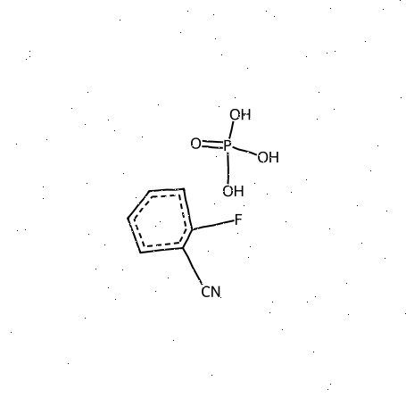 N#Cc1ccccc1F.O=P(O)(O)O